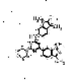 Cc1nn(C)c2cc(-c3cc(Nc4ccc5c(C)c(C)n(C)c5c4)nc(N4CCOCC4)n3)ccc12